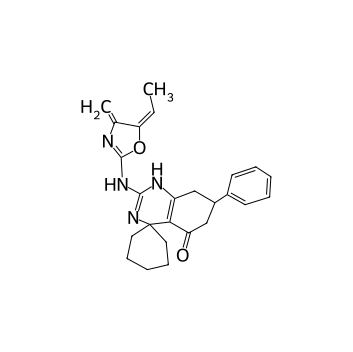 C=c1nc(NC2=NC3(CCCCC3)C3=C(CC(c4ccccc4)CC3=O)N2)o/c1=C/C